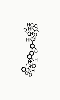 COC[C@H]1C[C@@H](c2ncc(-c3ccc4c(c3)COc3cc5c(ccc6nc([C@@H]7CCCN7C(=O)[C@H](NC(=O)OC)c7ccccc7)[nH]c65)cc3-4)[nH]2)N(C(=O)[C@@H](NC(=O)O)C(C)C)C1